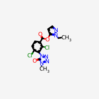 CCn1nccc1OC(=O)c1ccc(Cl)c(-n2nnn(C)c2=O)c1Cl